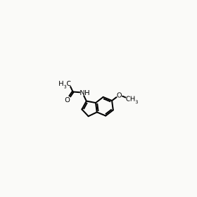 COc1ccc2c(c1)C(NC(C)=O)=CC2